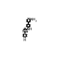 Nc1cc(-c2ccc(Nc3ccnc(N4CCNCC4)n3)cc2)ccn1